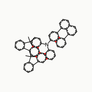 CC1(C)c2ccccc2-c2ccc(-c3ccccc3N(c3ccc(-c4cccc5cccc(-c6ccccc6)c45)cc3)c3ccccc3-c3cccc4c3C(C)(C)c3ccccc3-4)cc21